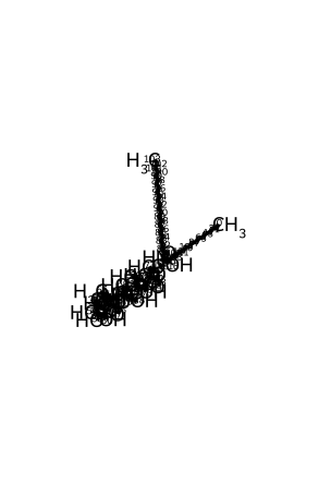 CCCCCCCCCCCCC/C=C/[C@@H](O)[C@H](CO[C@@H]1OC(CO)[C@@H](O[C@@H]2OC(CO)[C@H](O[C@@H]3OC(CO)[C@H](O)[C@H](O[C@@H]4OC(CO)[C@H](O[C@@H]5OC(CO)[C@H](O)[C@H](O)C5O)[C@H](O)C4NC(C)=O)C3O)[C@H](O)C2O)[C@H](O)C1O)NC(=O)CCCCCCCCCCCCCCCCCCCCCCC